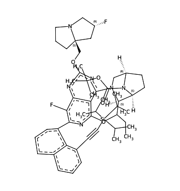 CCC1Oc2nc(-c3cccc4cccc(C#C[Si](C(C)C)(C(C)C)C(C)C)c34)c(F)c3nc(OC[C@@]45CCCN4C[C@H](F)C5)nc(c23)N2C[C@H]3CC[C@@H]([C@@H]12)N3C(=O)OC(C)(C)C